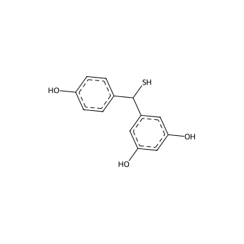 Oc1ccc(C(S)c2cc(O)cc(O)c2)cc1